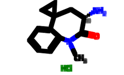 CN1C(=O)[C@@H](N)CC2(CC2)c2ccccc21.Cl